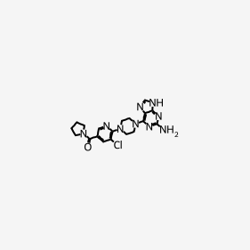 Nc1nc(N2CCN(c3ncc(C(=O)N4CCCC4)cc3Cl)CC2)c2nc[nH]c2n1